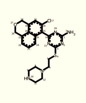 Nc1nc(SCCN2CCNCC2)nc(-c2c(Cl)cc3c4c(cccc24)COC3)n1